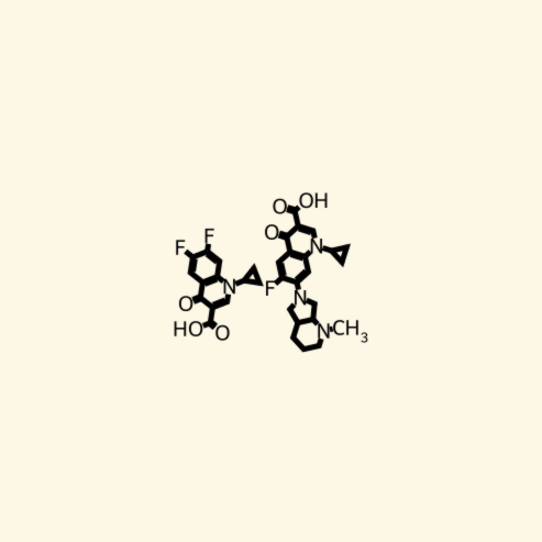 CN1CCCC2CN(c3cc4c(cc3F)c(=O)c(C(=O)O)cn4C3CC3)CC21.O=C(O)c1cn(C2CC2)c2cc(F)c(F)cc2c1=O